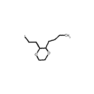 CCCCC1OCCOC1CCI